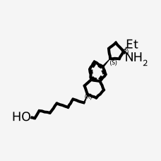 CC[C@@]1(N)CC[C@H](c2ccc3c(c2)CC[C@@H](CCCCCCCO)C3)C1